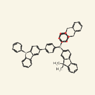 CC1(C)c2ccccc2-c2ccc(N(c3ccc(-c4ccc5c(c4)c4ccccc4n5-c4ccccc4)cc3)c3ccc4c(c3)C3c5ccccc5C4c4ccccc43)cc21